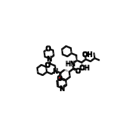 CC(C)C[C@H](O)[C@H](O)[C@H](CC1CCCCC1)NC(=O)[C@@H](CC(=O)N(CC(=O)N1CCOCC1)CC1CCCCC1)Cc1cccnc1